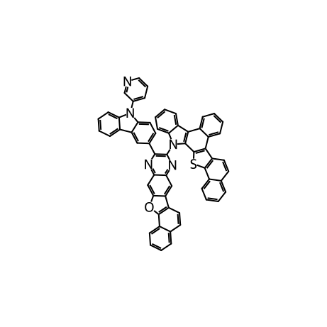 c1cncc(-n2c3ccccc3c3cc(-c4nc5cc6oc7c8ccccc8ccc7c6cc5nc4-n4c5ccccc5c5c6ccccc6c6c7ccc8ccccc8c7sc6c54)ccc32)c1